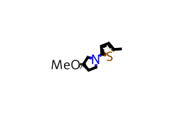 CO[C@@H]1CCN(c2ccc(C)s2)C1